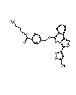 CCCCNC(=O)c1ccc(COc2nn3c(-c4cc(C)on4)nnc3c3ccccc23)nc1